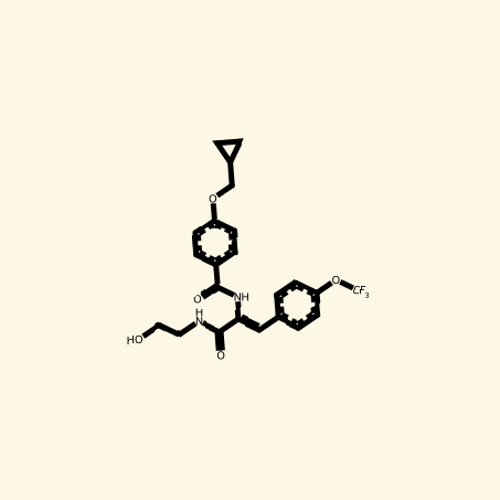 O=C(NCCO)C(=Cc1ccc(OC(F)(F)F)cc1)NC(=O)c1ccc(OCC2CC2)cc1